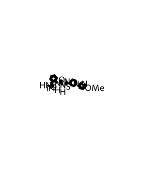 COc1ccc(N2CCc3nc(NC(=O)Nc4ccccc4C(=O)NC(C)C)sc3C2)cn1